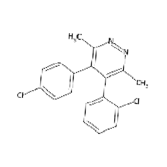 Cc1nnc(C)c(-c2ccccc2Cl)c1-c1ccc(Cl)cc1